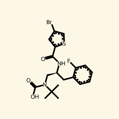 CC(C)(C)N(C[C@H](Cc1ccccc1F)NC(=O)c1cc(Br)cs1)C(=O)O